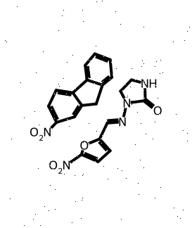 O=C1NCCN1N=Cc1ccc([N+](=O)[O-])o1.O=[N+]([O-])c1ccc2c(c1)Cc1ccccc1-2